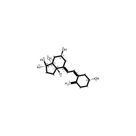 C=C1CC[C@@H](O)C/C1=C/C=C1\C[C@H](O)C[C@@]2(C)[C@H]1CC[C@]2(O)C(C)=O